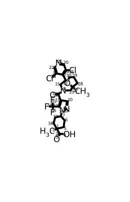 CC1(C(=O)O)CCC(n2ncc(C(=O)N(CCc3c(Cl)cncc3Cl)C[C@@]3(C)CCCO3)c2C(F)(F)F)CC1